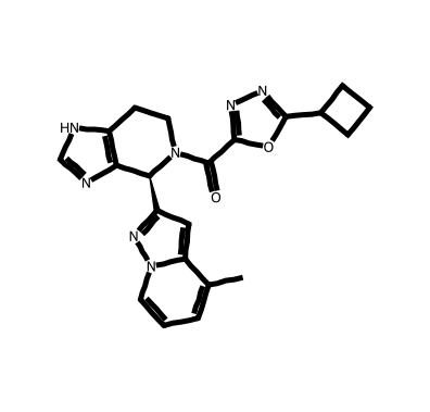 Cc1cccn2nc([C@H]3c4nc[nH]c4CCN3C(=O)c3nnc(C4CCC4)o3)cc12